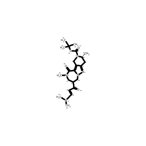 C[C@@H]1Cc2nn3c(c2CN1C(=O)OC(C)(C)C)C(=O)N(C)CC(C(=O)C=CN(C)C)C3